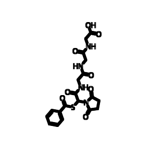 O=C(O)CNC(=O)CNC(=O)CNC(=O)C(SC(=O)c1ccccc1)N1C(=O)CCC1=O